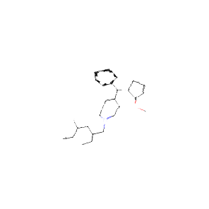 CCC(C)CC(CC)CN1CCC(C(c2ccccc2)[C@H]2CCCC2OC)CC1